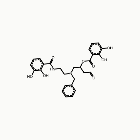 O=CCC(CN(CCNC(=O)c1cccc(O)c1O)Cc1ccccc1)OC(=O)c1cccc(O)c1O